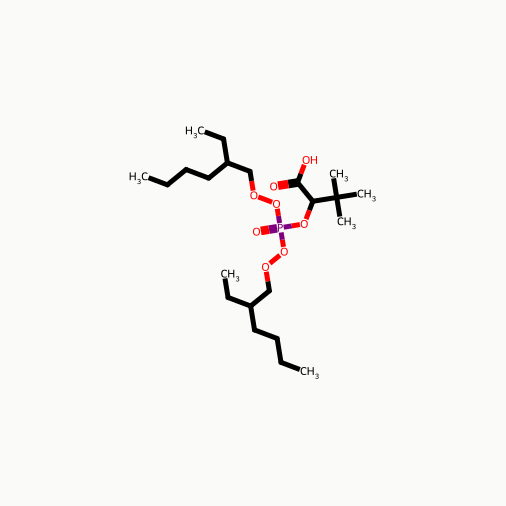 CCCCC(CC)COOP(=O)(OOCC(CC)CCCC)OC(C(=O)O)C(C)(C)C